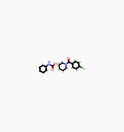 O=C(Nc1ccccc1)O[C@H]1CCCN(C(=O)c2ccc(F)cc2)C1